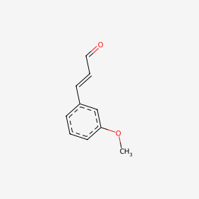 COc1cccc(/C=C/C=O)c1